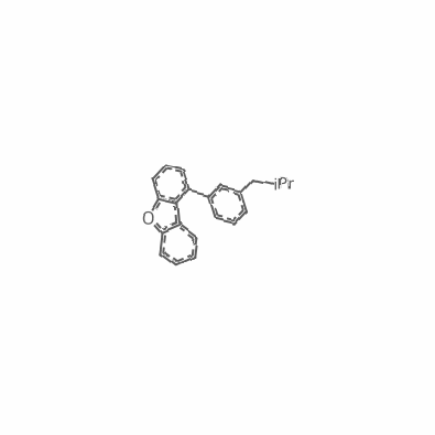 CC(C)Cc1cccc(-c2cccc3oc4ccccc4c23)c1